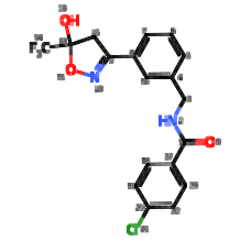 O=C(NCc1cccc(C2=NOC(O)(C(F)(F)F)C2)c1)c1ccc(Cl)cc1